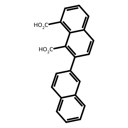 O=C(O)c1cccc2ccc(-c3ccc4ccccc4c3)c(C(=O)O)c12